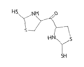 O=C(C1CSC(S)N1)C1CSC(S)N1